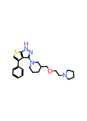 c1ccc(-c2csc3[nH]nc(N4CCCC(COCCN5CCCC5)C4)c23)cc1